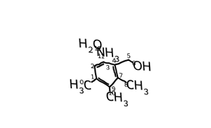 Cc1ccc(CO)c(C)c1C.N.O